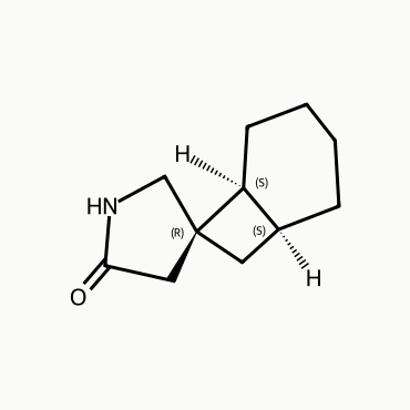 O=C1C[C@]2(CN1)C[C@@H]1CCCC[C@@H]12